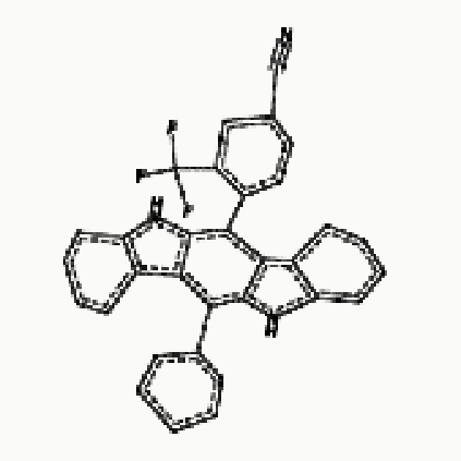 N#Cc1ccc(-c2c3[nH]c4ccccc4c3c(-c3ccccc3)c3[nH]c4ccccc4c23)c(C(F)(F)F)c1